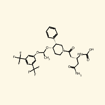 C[C@@H](Oc1cc(C(F)(F)F)cc(C(F)(F)F)c1)O[C@H]1CCN(C(=O)C[C@@H](CC(N)=O)NC(=O)O)C[C@H]1c1ccccc1